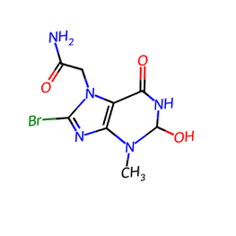 CN1c2nc(Br)n(CC(N)=O)c2C(=O)NC1O